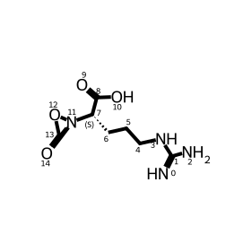 N=C(N)NCCC[C@@H](C(=O)O)N1OC1=O